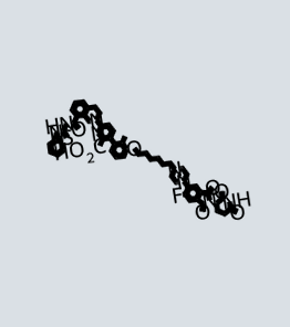 Cc1c(OCCCCCCN2CCN(c3cc4c(cc3F)C(=O)N(C3CCC(=O)NC3=O)C4=O)CC2)cccc1-c1ccc(N2CCc3cccc(C(=O)Nc4nc5ccccc5s4)c3C2)nc1C(=O)O